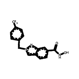 O=C(NO)c1ccc2cn(Cc3ccc(C(F)(F)F)cc3)nc2c1